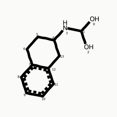 OC(O)NC1CCc2ccccc2C1